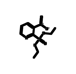 CCOP(=O)(OCC)c1ncccc1[N+](=O)[O-]